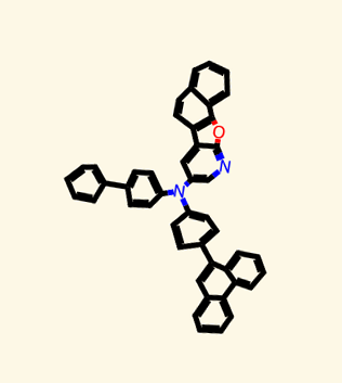 c1ccc(-c2ccc(N(c3ccc(-c4cc5ccccc5c5ccccc45)cc3)c3cnc4oc5c6ccccc6ccc5c4c3)cc2)cc1